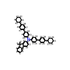 CC1(C)c2ccccc2-c2ccc(N(c3ccc(-c4ccc(C5CCCCC5)cc4)cc3)c3ccc(-c4ccc(C5CCCCC5)cc4)cc3)cc21